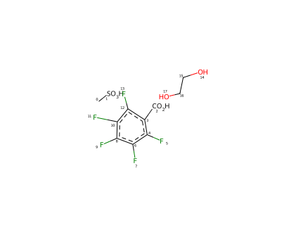 CS(=O)(=O)O.O=C(O)c1c(F)c(F)c(F)c(F)c1F.OCCO